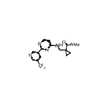 CNC(=O)C1(CNc2ccnc(-c3cncc(C(F)(F)F)c3)n2)CC1